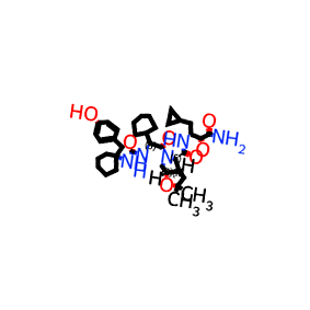 CC1(C)C[C@H]2[C@H](CN(C(=O)[C@@H](NC(=O)NC3(Cc4ccc(O)cc4)CCCCC3)C3CCCCC3)[C@@H]2C(=O)NC(CC2CC2)C(=O)C(N)=O)O1